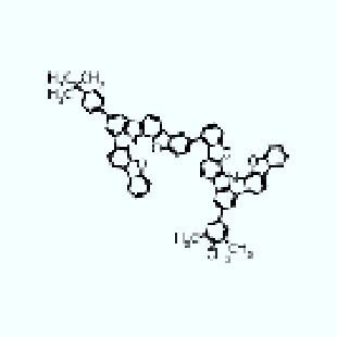 Cc1cc(-c2cc3c4ccc5c6ccccc6oc5c4n4c3c(c2)c2ccc3c(oc5cccc(-c6ccc7oc8c(ccc9c%10cc(-c%11ccc(C(C)(C)C)cc%11)cc%11c%12ccc%13c%14ccccc%14oc%13c%12n(c%11%10)c98)c7c6)c53)c24)cc(C)c1C